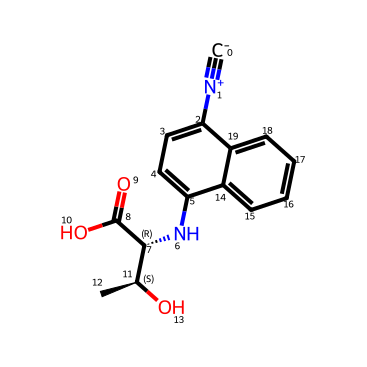 [C-]#[N+]c1ccc(N[C@@H](C(=O)O)[C@H](C)O)c2ccccc12